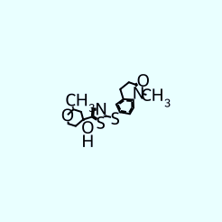 C[C@H]1C[C@@](O)(c2cnc(Sc3ccc4c(c3)CCC(=O)N4C)s2)CCO1